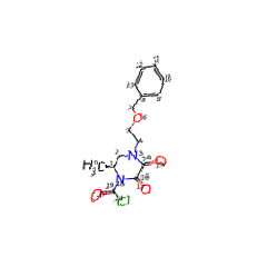 C[C@H]1CN(CCOCc2ccccc2)C(=O)C(=O)N1C(=O)Cl